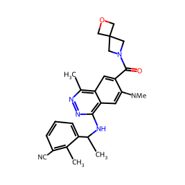 CNc1cc2c(NC(C)c3cccc(C#N)c3C)nnc(C)c2cc1C(=O)N1CC2(COC2)C1